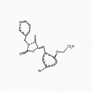 O=C(O)COc1ccc(Br)cc1C=C1SC(=S)N(Cc2cccnc2)C1=O